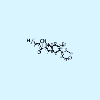 C/C=C(\C#N)C(=O)c1cc2cc(N3CCOCC3)c(Br)cc2[nH]1